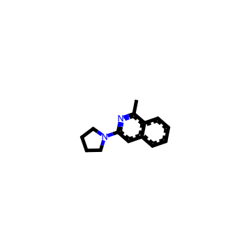 Cc1nc(N2CCCC2)cc2ccccc12